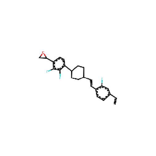 C=Cc1ccc(/C=C/C2CCC(c3ccc(C4CO4)c(F)c3F)CC2)c(F)c1